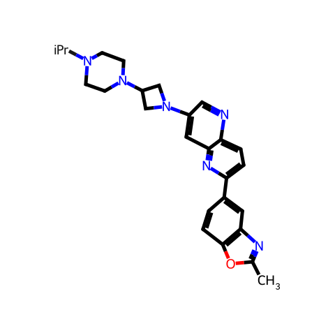 Cc1nc2cc(-c3ccc4ncc(N5CC(N6CCN(C(C)C)CC6)C5)cc4n3)ccc2o1